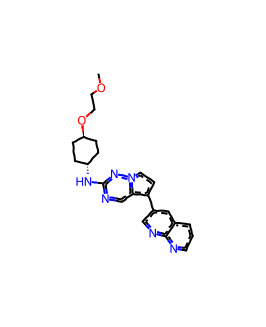 COCCO[C@H]1CC[C@H](Nc2ncc3c(-c4cnc5ncccc5c4)ccn3n2)CC1